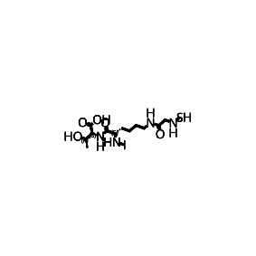 C[C@@H](O)[C@H](NC(=O)[C@H](CCCCNC(=O)CNS)NI)C(=O)O